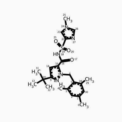 Cc1cc(C)c(Cn2nc(C(C)(C)C)cc2C(=O)NS(=O)(=O)c2cn(C)cn2)c(C)c1